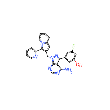 Nc1ncnc2c1c(-c1cc(O)cc(F)c1)nn2Cc1cc2ccccn2c1-c1ccccn1